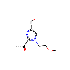 COCCn1cc(CO)nc1C(C)=O